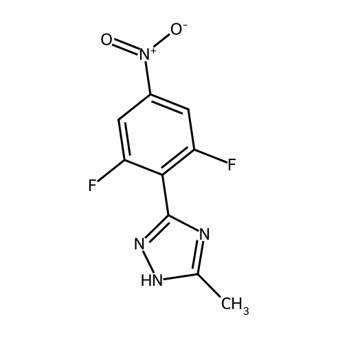 Cc1nc(-c2c(F)cc([N+](=O)[O-])cc2F)n[nH]1